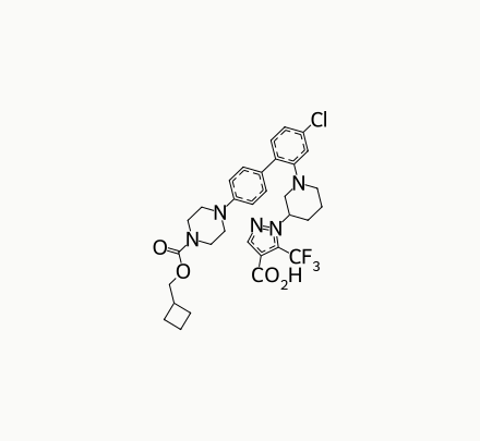 O=C(O)c1cnn(C2CCCN(c3cc(Cl)ccc3-c3ccc(N4CCN(C(=O)OCC5CCC5)CC4)cc3)C2)c1C(F)(F)F